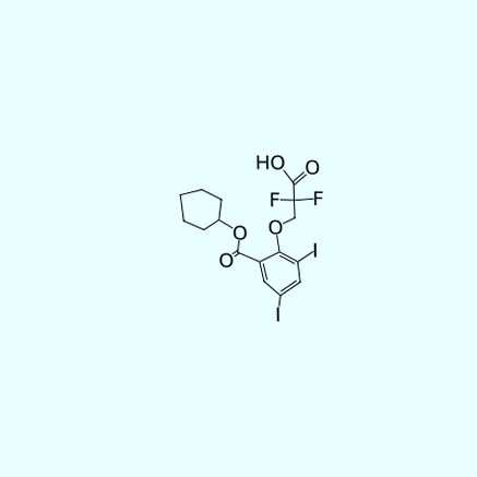 O=C(OC1CCCCC1)c1cc(I)cc(I)c1OCC(F)(F)C(=O)O